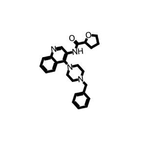 O=C(Nc1cnc2ccccc2c1N1CCN(Cc2ccccc2)CC1)C1CCCO1